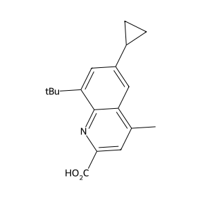 Cc1cc(C(=O)O)nc2c(C(C)(C)C)cc(C3CC3)cc12